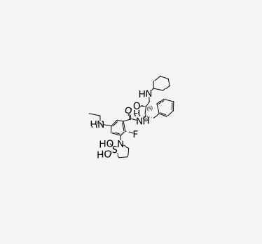 CCNc1cc(C(=O)N[C@@H](Cc2ccccc2)[C@@H](O)CNC2CCCCC2)c(F)c(N2CCCS2(O)O)c1